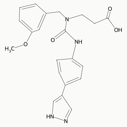 COc1cccc(CN(CCC(=O)O)C(=O)Nc2ccc(-c3cn[nH]c3)cc2)c1